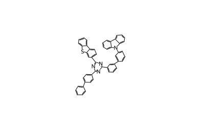 c1ccc(-c2ccc(-c3nc(-c4cccc(-c5cccc(-n6c7ccccc7c7ccccc76)c5)c4)nc(-c4ccc5c(c4)sc4ccccc45)n3)cc2)cc1